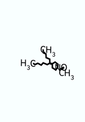 CCCCCCC(CCCCC)=C1CCN(C(C)=O)CC1